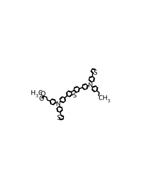 CCCc1ccc(N(c2ccc(-c3ccc4c(c3)sc3cc(-c5ccc(N(c6ccc(CCC(=O)OC)cc6)c6ccc(-c7cccs7)cc6)cc5)ccc34)cc2)c2ccc(-c3cccs3)cc2)cc1